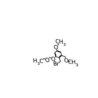 CCOCOc1cc(OCC)cc(COC)c1CBr